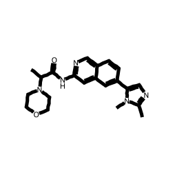 Cc1ncc(-c2ccc3cnc(NC(=O)C(C)N4CCOCC4)cc3c2)n1C